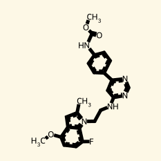 COC(=O)Nc1ccc(-c2cc(NCCn3c(C)cc4c(OC)ccc(F)c43)ncn2)cc1